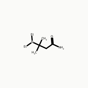 CCN(CC)C(C)(C)CC(N)=O